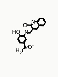 C=[N+]([O-])c1ccc(O)c(/N=C/c2cc3ccccc3nc2Cl)c1